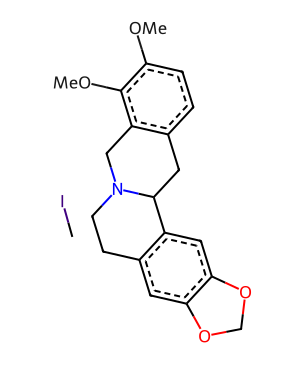 CI.COc1ccc2c(c1OC)CN1CCc3cc4c(cc3C1C2)OCO4